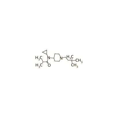 CC(C)C(=O)N(C1CC1)C1CCN(CCC(C)(C)C)CC1